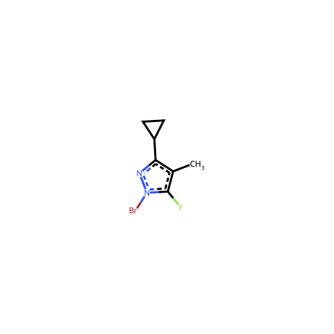 Cc1c(C2CC2)nn(Br)c1F